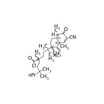 CCCC(C)(C)CC[C@@](C)(CCC(C)(C)[C@]1(C)CC[C@H]2[C@H](C)C(=O)C(C#N)=C[C@]2(C)/C1=C/C(C)=O)C(=O)Cl